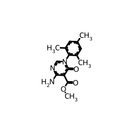 COC(=O)c1c(N)ncn(-c2c(C)cc(C)cc2C)c1=O